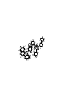 c1ccc(-c2cccc(-c3nc(-c4ccccc4)nc(-c4cccc5oc6cc(-n7c8ccccc8c8ccc9ccccc9c87)ccc6c45)n3)c2)cc1